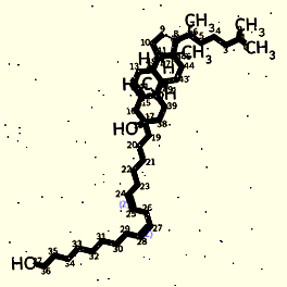 CC(C)CCC[C@@H](C)[C@H]1CC[C@H]2[C@@H]3CC=C4CC(O)(CCCCC/C=C\C/C=C\CCCCCCCCO)CC[C@]4(C)[C@H]3CC[C@]12C